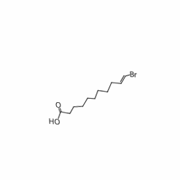 O=C(O)CCCCCCCCC=CBr